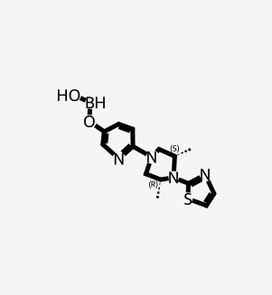 C[C@@H]1CN(c2ccc(OBO)cn2)C[C@H](C)N1c1nccs1